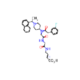 CC(c1cccc2ccccc12)N1CCC(N(CC(=O)NCC(=O)NC/C=C/C(=O)O)C(=O)Cc2cccc(F)c2)CC1